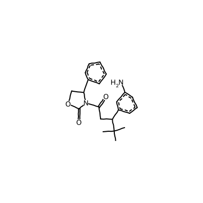 CC(C)(C)C(CC(=O)N1C(=O)OCC1c1ccccc1)c1cccc(N)c1